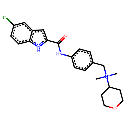 C[N+](C)(Cc1ccc(NC(=O)c2cc3cc(Cl)ccc3[nH]2)cc1)C1CCOCC1